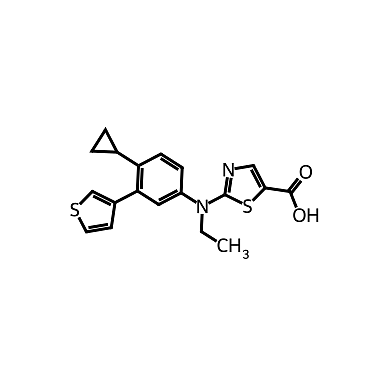 CCN(c1ccc(C2CC2)c(-c2ccsc2)c1)c1ncc(C(=O)O)s1